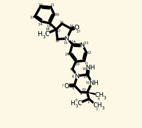 CC(C)[C@]1(C)CC(=O)N(Cc2ccnc(N3CC(C)(c4ccccc4)CC3=O)c2)C(=N)N1